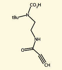 C#CC(=O)NCCN(C(=O)O)C(C)(C)C